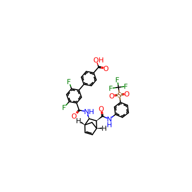 O=C(O)c1ccc(-c2cc(C(=O)N[C@H]3[C@@H](C(=O)Nc4cccc(S(=O)(=O)C(F)(F)F)c4)[C@@H]4C=C[C@H]3C4)c(F)cc2F)cc1